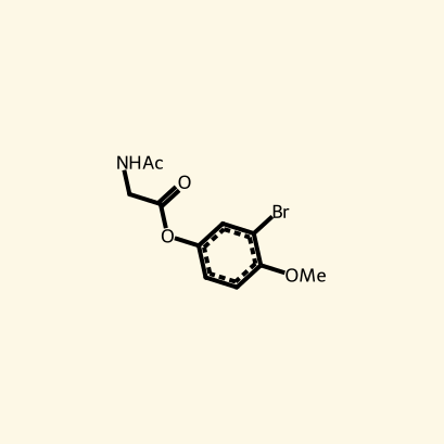 COc1ccc(OC(=O)CNC(C)=O)cc1Br